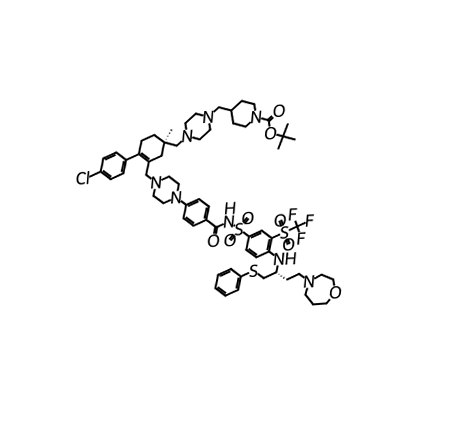 CC(C)(C)OC(=O)N1CCC(CN2CCN(C[C@]3(C)CCC(c4ccc(Cl)cc4)=C(CN4CCN(c5ccc(C(=O)NS(=O)(=O)c6ccc(N[C@H](CCN7CCCOCC7)CSc7ccccc7)c(S(=O)(=O)C(F)(F)F)c6)cc5)CC4)C3)CC2)CC1